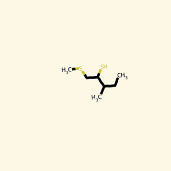 CCC(C)C(S)CSC